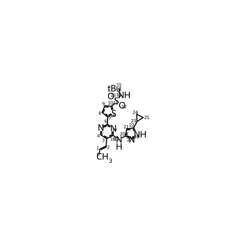 CC=Cc1cnc(-c2ccc(S(=O)(=O)NC(C)(C)C)s2)nc1Nc1cc(C2CC2)[nH]n1